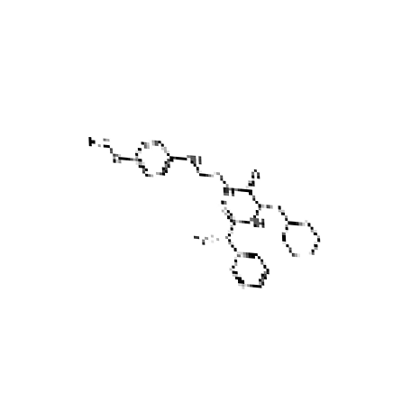 COc1ccc(NCCNC(=O)[C@H](CC2CCCCC2)NC(=O)[C@@H](C)c2ccccc2)cc1